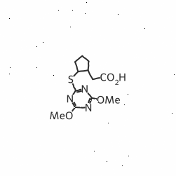 COc1nc(OC)nc(SC2CCCC2CC(=O)O)n1